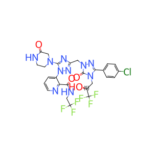 O=C1CN(c2nc(Cn3nc(-c4ccc(Cl)cc4)n(C[C@H](O)C(F)(F)F)c3=O)nn2-c2cccnc2C(=O)NCC(F)(F)F)CCN1